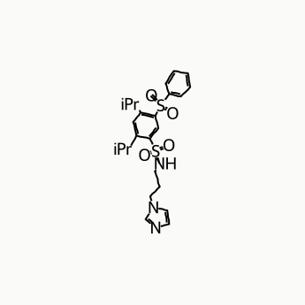 CC(C)c1cc(C(C)C)c(S(=O)(=O)c2ccccc2)cc1S(=O)(=O)NCCCn1ccnc1